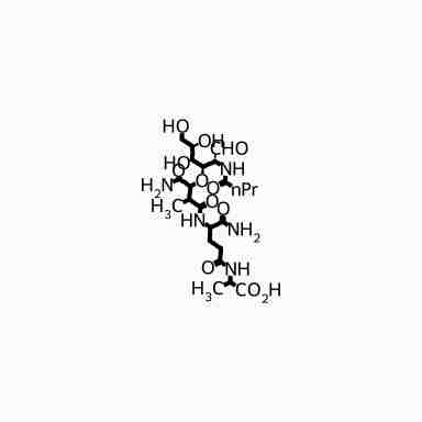 CCCC(=O)N[C@@H](C=O)[C@@H](OC(C(N)=O)C(C)C(=O)NC(CCC(=O)NC(C)C(=O)O)C(N)=O)[C@H](O)[C@H](O)CO